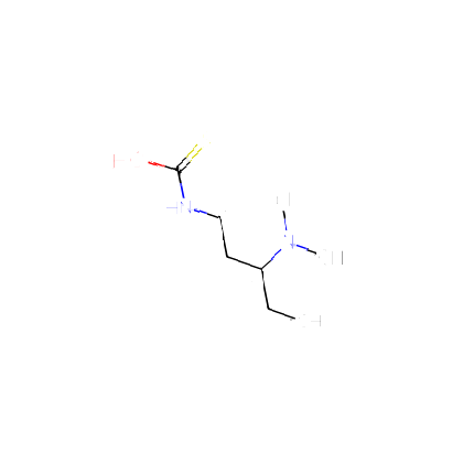 CCC(CCNC(O)=S)N(C)C